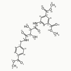 COC(=O)c1ccc(CNC(=O)C(O)C(O)C(=O)Nc2cc(C(=O)OC)cc(C(=O)OC)c2)cc1